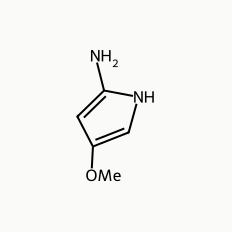 COc1c[nH]c(N)c1